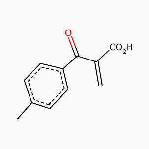 C=C(C(=O)O)C(=O)c1ccc(C)cc1